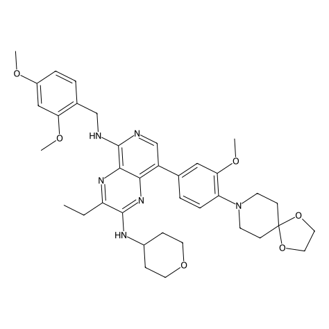 CCc1nc2c(NCc3ccc(OC)cc3OC)ncc(-c3ccc(N4CCC5(CC4)OCCO5)c(OC)c3)c2nc1NC1CCOCC1